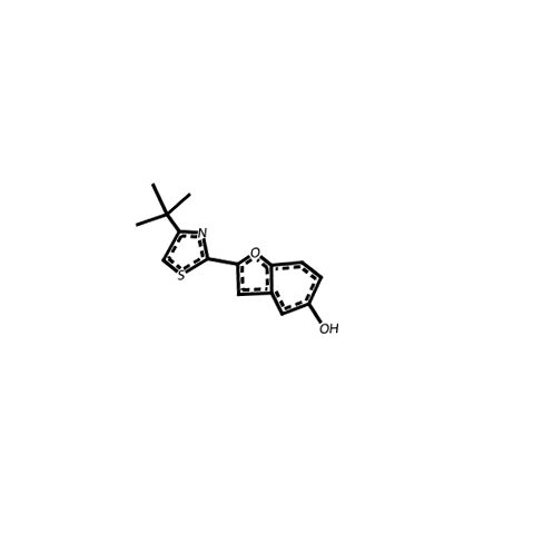 CC(C)(C)c1csc(-c2cc3cc(O)ccc3o2)n1